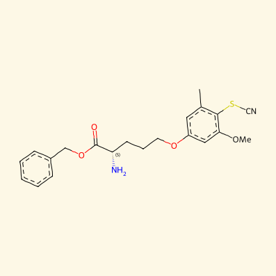 COc1cc(OCCC[C@H](N)C(=O)OCc2ccccc2)cc(C)c1SC#N